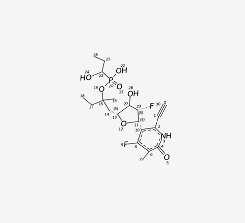 C#Cc1[nH]c(=O)c(C)c(F)c1[C@@H]1O[C@H](CC(C)(CC)OP(=O)(O)C(O)CC)C(O)[C@@H]1F